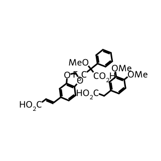 COC(C(=O)O)(c1ccccc1)C(F)(F)F.COc1ccc(CC(=O)O)cc1OC.O=C(O)C=Cc1ccc2c(c1)OCO2